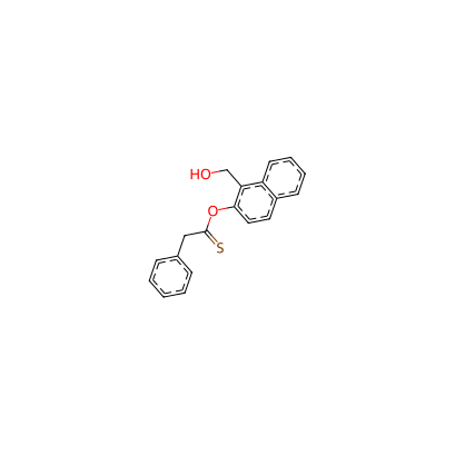 OCc1c(OC(=S)Cc2ccccc2)ccc2ccccc12